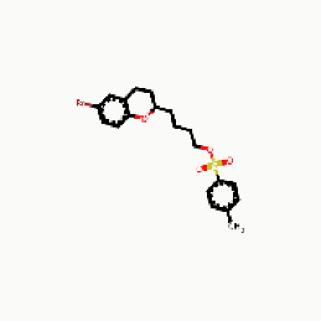 Cc1ccc(S(=O)(=O)OCCCCC2CCc3cc(Br)ccc3O2)cc1